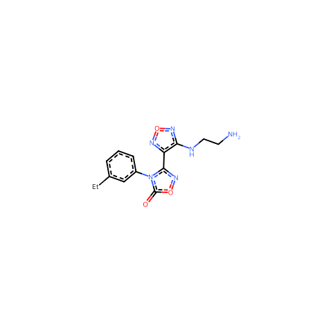 CCc1cccc(-n2c(-c3nonc3NCCN)noc2=O)c1